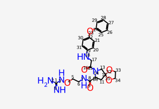 N=C(N)NOCCNC(=O)[C@@H]1CC2(CN1C(=O)CNc1ccc(Oc3ccccc3)cc1)OCCO2